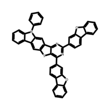 c1ccc(-n2c3ccccc3c3cc4sc5c(-c6ccc7c(c6)oc6ccccc67)nc(-c6ccc7c(c6)oc6ccccc67)nc5c4cc32)cc1